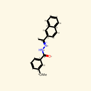 COc1cccc(C(=O)N/N=C(\C)c2ccc3ccccc3c2)c1